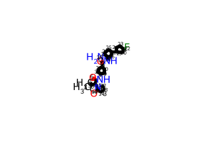 CC(C)(C)C(C(=O)Nc1ccc(C(=O)Nc2cc(-c3ccc(F)cc3)ccc2N)cc1)N1CCCC1=O